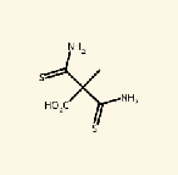 CC(C(=O)O)(C(N)=S)C(N)=S